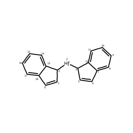 C1=C[CH]([Hf][CH]2C=Cc3ccccc32)c2ccccc21